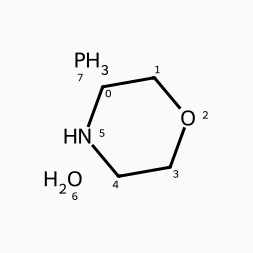 C1COCCN1.O.P